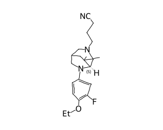 CCOc1ccc(N2CC3CN(CCCC#N)C[C@@H]2C(C)(C)C3)cc1F